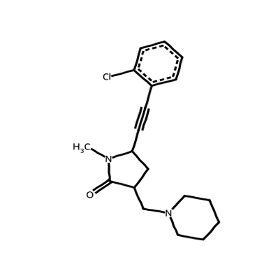 CN1C(=O)C(CN2CCCCC2)CC1C#Cc1ccccc1Cl